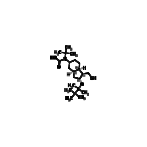 CC(C)(C)N(C(=O)O)C1CC[C@@H]2[C@H](C1)C[C@@H](O[Si](C)(C)C(C)(C)C)[C@@H]2CO